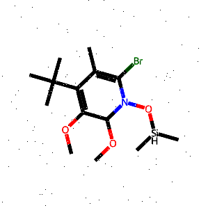 COC1=C(C(C)(C)C)C(C)=C(Br)N(O[SiH](C)C)C1OC